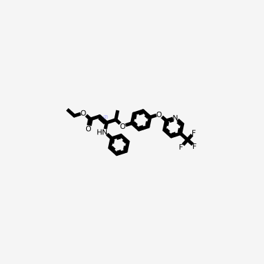 CCOC(=O)/C=C(\Nc1ccccc1)C(C)Oc1ccc(Oc2ccc(C(F)(F)F)cn2)cc1